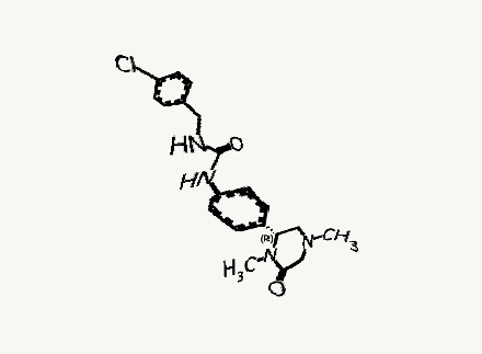 CN1CC(=O)N(C)[C@H](c2ccc(NC(=O)NCc3ccc(Cl)cc3)cc2)C1